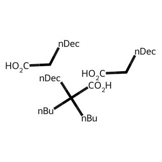 CCCCCCCCCCC(CCCC)(CCCC)C(=O)O.CCCCCCCCCCCC(=O)O.CCCCCCCCCCCC(=O)O